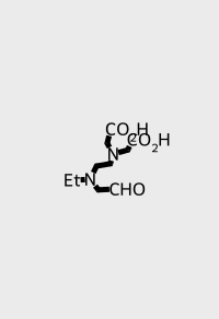 CCN(CC=O)CCN(CC(=O)O)CC(=O)O